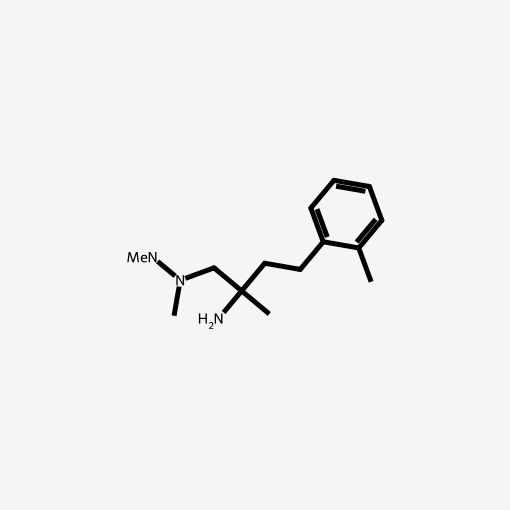 CNN(C)CC(C)(N)CCc1ccccc1C